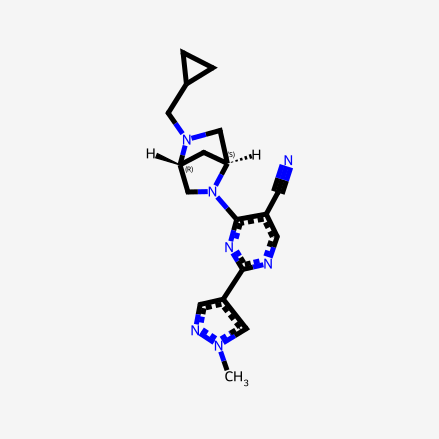 Cn1cc(-c2ncc(C#N)c(N3C[C@H]4C[C@H]3CN4CC3CC3)n2)cn1